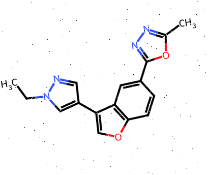 CCn1cc(-c2coc3ccc(-c4nnc(C)o4)cc23)cn1